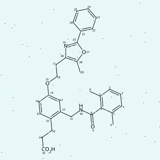 Cc1cccc(C)c1C(=O)NCc1cc(OCCc2nc(-c3ccccc3)oc2C)ccc1CCC(=O)O